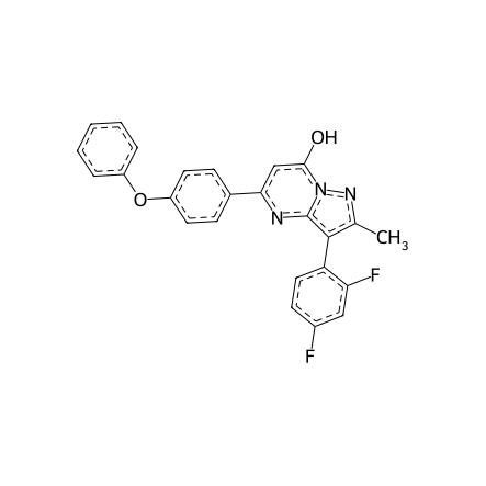 Cc1nn2c(O)cc(-c3ccc(Oc4ccccc4)cc3)nc2c1-c1ccc(F)cc1F